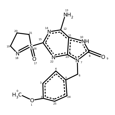 COc1ccc(Cn2c(=O)[nH]c3c(N)nc(S4(=O)=NCCC4)nc32)cc1